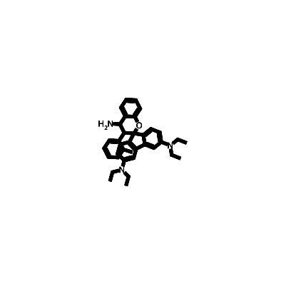 CCN(CC)c1ccc2c(c1)-c1cc(N(CC)CC)ccc1C21Oc2ccccc2C(N)C1c1ccccc1C